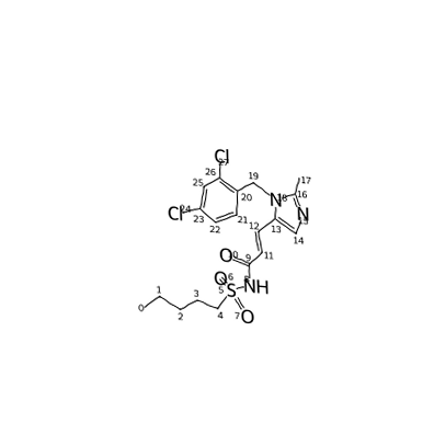 CCCCCS(=O)(=O)NC(=O)/C=C/c1cnc(C)n1Cc1ccc(Cl)cc1Cl